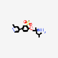 Cc1cc(-c2ccc(OCC(C)(N)CC(C)C)c(S(C)(=O)=O)c2)ccn1